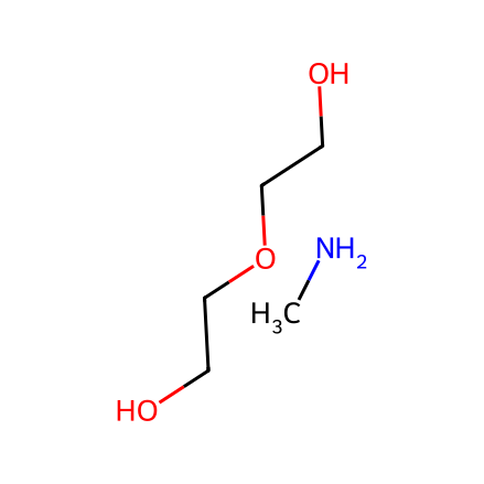 CN.OCCOCCO